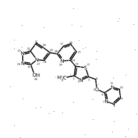 Cc1nc(COc2ncccn2)sc1-c1cccc(-c2ccc3nnc(O)n3c2)n1